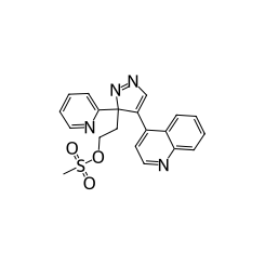 CS(=O)(=O)OCCC1(c2ccccn2)N=NC=C1c1ccnc2ccccc12